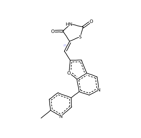 Cc1ccc(-c2cncc3cc(/C=C4\SC(=O)NC4=O)oc23)cn1